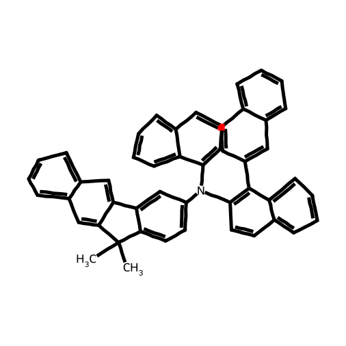 CC1(C)c2ccc(N(c3ccc4ccccc4c3-c3ccc4ccccc4c3)c3cccc4ccccc34)cc2-c2cc3ccccc3cc21